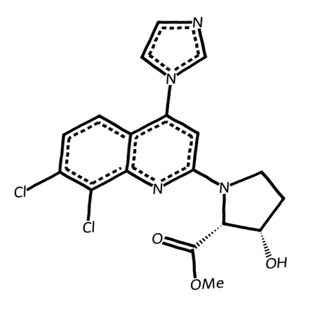 COC(=O)[C@H]1[C@@H](O)CCN1c1cc(-n2ccnc2)c2ccc(Cl)c(Cl)c2n1